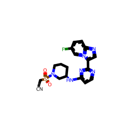 N#CCS(=O)(=O)N1CCC[C@@H](Nc2ccnc(-c3cnc4ccc(F)cn34)n2)C1